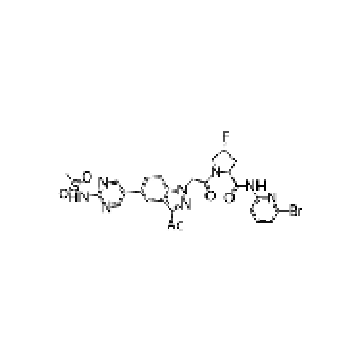 CC(=O)c1nn(CC(=O)N2C[C@H](F)C[C@H]2C(=O)Nc2cccc(Br)n2)c2ccc(-c3cnc(NS(C)(=O)=O)nc3)cc12